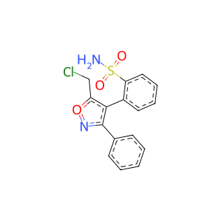 NS(=O)(=O)c1ccccc1-c1c(-c2ccccc2)noc1CCl